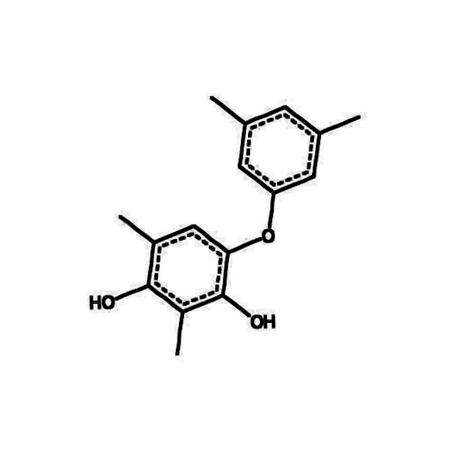 Cc1cc(C)cc(Oc2cc(C)c(O)c(C)c2O)c1